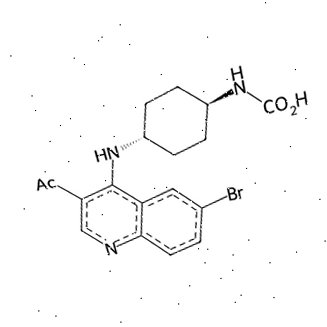 CC(=O)c1cnc2ccc(Br)cc2c1N[C@H]1CC[C@H](NC(=O)O)CC1